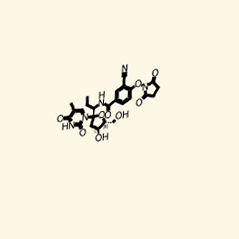 CCC(NC(=O)c1ccc(ON2C(=O)CCC2=O)c(C#N)c1)[C@]1(n2cc(C)c(=O)[nH]c2=O)C[C@H](O)[C@@H](CO)O1